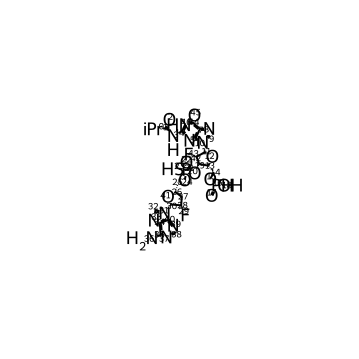 CC(C)C(=O)Nc1nc2c(ncn2[C@@H]2O[C@H](CO[PH](=O)O)[C@@H](O[P@](=O)(S)OC[C@@H]3C[C@@H](F)[C@H](n4cnc5c(N)ncnc54)O3)[C@H]2F)c(=O)[nH]1